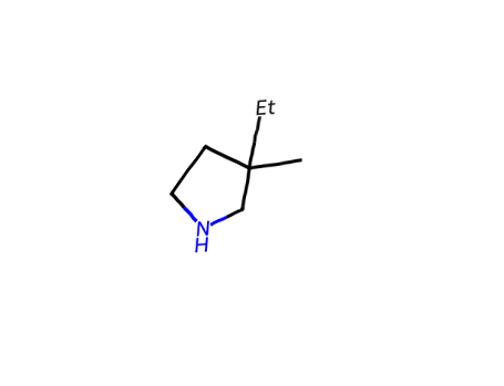 CCC1(C)CCNC1